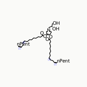 CCCCC/C=C\C/C=C\CCCCCCCC(=O)OC1CN(CC(O)CO)C[C@H]1OC(=O)CCCCCCC/C=C\C/C=C\CCCCC